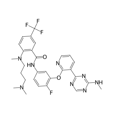 CNc1ncnc(-c2cccnc2Oc2cc(NC(=O)c3cc(C(F)(F)F)ccc3N(C)CCCN(C)C)ccc2F)n1